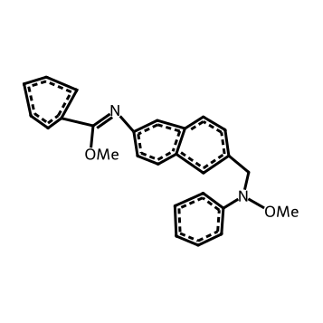 CO/C(=N\c1ccc2cc(CN(OC)c3ccccc3)ccc2c1)c1ccccc1